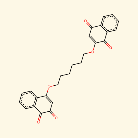 O=C1C=C(OCCCCCCOC2=CC(=O)c3ccccc3C2=O)c2ccccc2C1=O